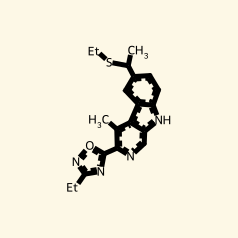 CCSC(C)c1ccc2[nH]c3cnc(-c4nc(CC)no4)c(C)c3c2c1